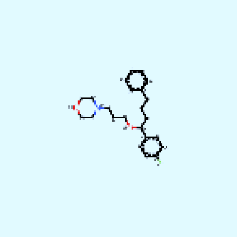 Fc1ccc(C(CCCc2ccccc2)OCCCN2CCOCC2)cc1